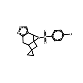 O=S(=O)(c1ccc(Cl)cc1)N1C2c3cnoc3CC3C4(CC4)CC231